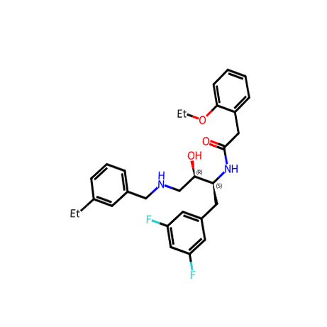 CCOc1ccccc1CC(=O)N[C@@H](Cc1cc(F)cc(F)c1)[C@H](O)CNCc1cccc(CC)c1